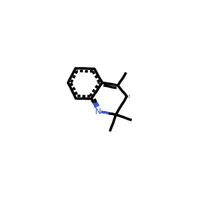 CC1=c2ccccc2=NC(C)(C)[C]1